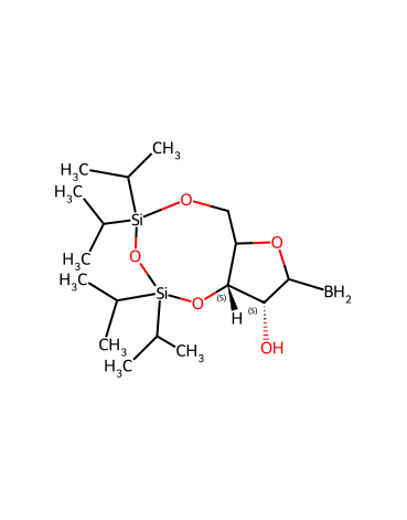 BC1OC2CO[Si](C(C)C)(C(C)C)O[Si](C(C)C)(C(C)C)O[C@H]2[C@H]1O